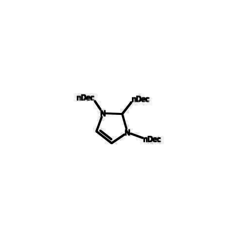 CCCCCCCCCCC1N(CCCCCCCCCC)C=CN1CCCCCCCCCC